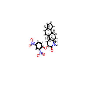 CN1C(=O)C(Oc2ccc([N+](=O)[O-])cc2[N+](=O)[O-])C[C@]2(C)[C@H]3CC[C@]4(C)CCC[C@H]4[C@@H]3CC[C@@H]12